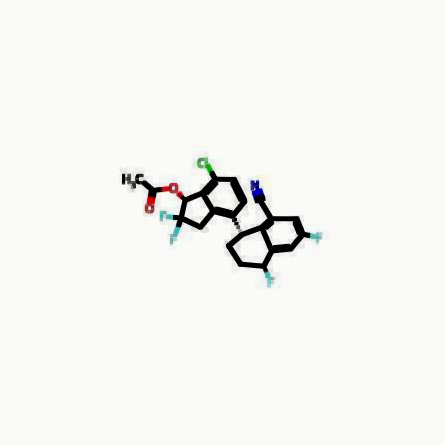 CC(=O)O[C@H]1c2c(Cl)ccc([C@H]3CC[C@H](F)c4cc(F)cc(C#N)c43)c2CC1(F)F